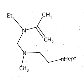 C=C(C)N(CC)CN(C)CCCCCCCCC